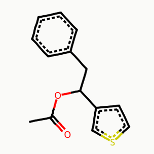 CC(=O)OC(Cc1ccccc1)c1ccsc1